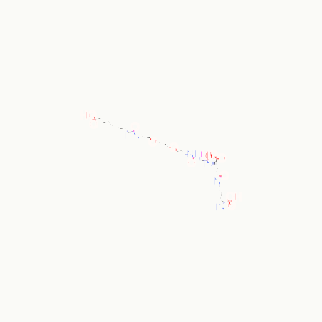 CN[C@@H](CCCCNC(=O)CC[C@H](NC(=O)CCC(=O)NCCCOCCCCOCCCNC(=O)CCCCCCCCC(=O)O)C(=O)O)C(=O)O